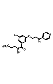 CC(C)N(CCC(=O)O)C(=O)c1cc(Cl)cc(OCCNc2ccncc2)c1